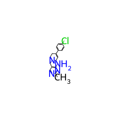 Cc1ncc(CN2CC=C(c3ccc(Cl)cc3)CC2)c(N)n1